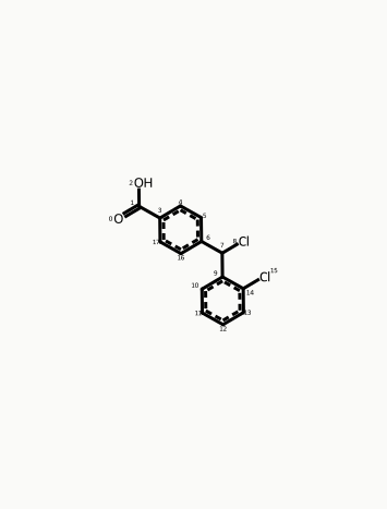 O=C(O)c1ccc(C(Cl)c2ccccc2Cl)cc1